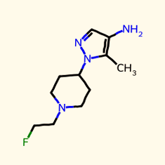 Cc1c(N)cnn1C1CCN(CCF)CC1